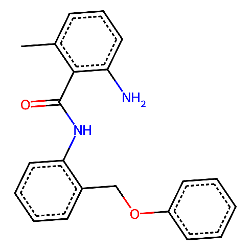 Cc1cccc(N)c1C(=O)Nc1ccccc1COc1ccccc1